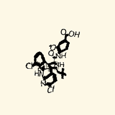 COc1cc(C(=O)O)ccc1NC(=O)[C@@H]1N[C@@H](CC(C)(C)C)[C@@]2(C(=O)Nc3nc(Cl)ccc32)[C@H]1c1cccc(Cl)c1F